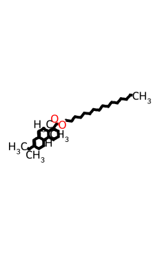 CCCCCCCCCCCCCCCCOC(=O)[C@]1(C)CCC[C@@]2(C)C1CC=C1C=C(C(C)C)CC[C@@H]12